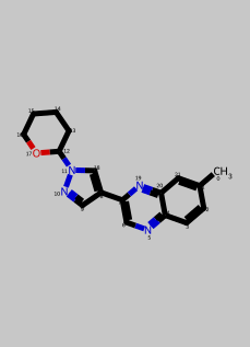 Cc1ccc2ncc(-c3cnn(C4CCCCO4)c3)nc2c1